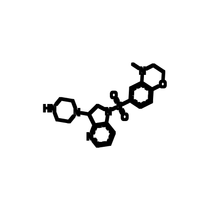 CN1CCOc2ccc(S(=O)(=O)N3CC(N4CCNCC4)c4ncccc43)cc21